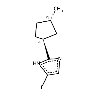 C[C@H]1CC[C@H](c2ncc(I)[nH]2)C1